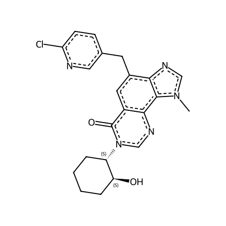 Cn1cnc2c(Cc3ccc(Cl)nc3)cc3c(=O)n([C@H]4CCCC[C@@H]4O)cnc3c21